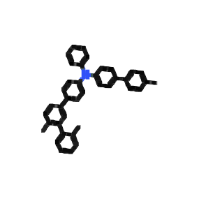 Cc1ccc(-c2ccc(N(c3ccccc3)c3ccc(-c4ccc(C)c(-c5ccccc5C)c4)cc3)cc2)cc1